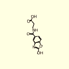 O=C(O)CCNC(=O)c1ccc2oc(O)nc2c1